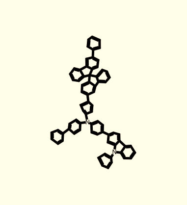 c1ccc(-c2ccc(N(c3ccc(-c4ccc5c(c4)-c4ccccc4C54c5ccccc5-c5cc(-c6ccccc6)ccc54)cc3)c3ccc(-c4ccc5c6ccccc6n(-c6ccccc6)c5c4)cc3)cc2)cc1